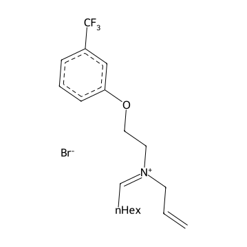 C=CC[N+](=CCCCCCC)CCOc1cccc(C(F)(F)F)c1.[Br-]